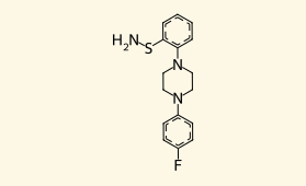 NSc1ccccc1N1CCN(c2ccc(F)cc2)CC1